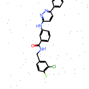 O=C(NCc1ccc(F)c(Cl)c1)c1cccc(Nc2ccc(-c3ccccc3)nn2)c1